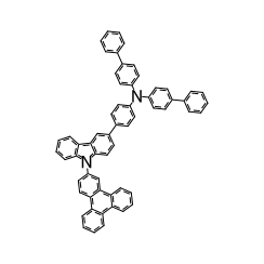 c1ccc(-c2ccc(N(c3ccc(-c4ccccc4)cc3)c3ccc(-c4ccc5c(c4)c4ccccc4n5-c4ccc5c6ccccc6c6ccccc6c5c4)cc3)cc2)cc1